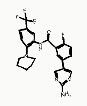 Nc1ncc(-c2ccc(F)c(C(=O)Nc3cc(C(F)(F)F)ccc3N3CCCCC3)c2)cn1